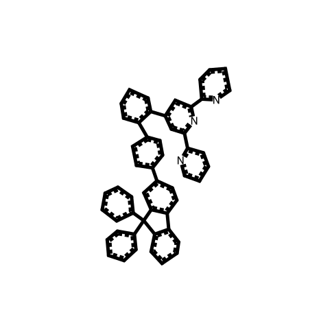 c1ccc(C2(c3ccccc3)c3ccccc3-c3ccc(-c4ccc(-c5ccccc5-c5cc(-c6ccccn6)nc(-c6ccccn6)c5)cc4)cc32)cc1